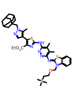 CCOC(=O)c1nc(Nc2nnc(/N=c3\sc4ccccc4n3COCC[Si](C)(C)C)c(C)c2C)sc1-c1cnn(CC23CC4CC(CC(C4)C2)C3)c1C